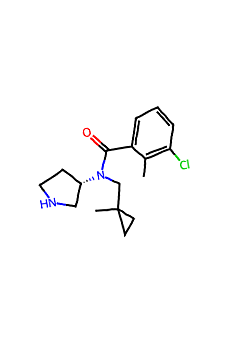 Cc1c(Cl)cccc1C(=O)N(CC1(C)CC1)[C@H]1CCNC1